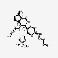 C=C1CC[C@H]2[C@H](CN=[N+]=[N-])[C@@H]([C@@]3(C)CCC(=NOCCI)C[C@@H]3CO[Si](C)(C)C(C)(C)C)CC[C@]12C